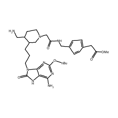 CCCCOc1nc(N)c2[nH]c(=O)n(CCCC3CN(CC(=O)NCc4ccc(CC(=O)OC)cc4)CCC3CN)c2n1